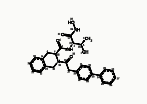 C[C@@H](O)[C@H](NC(=O)[C@@H]1Cc2ccccc2CN1C(=O)Cc1ccc(-c2ccccc2)cc1)C(=O)NO